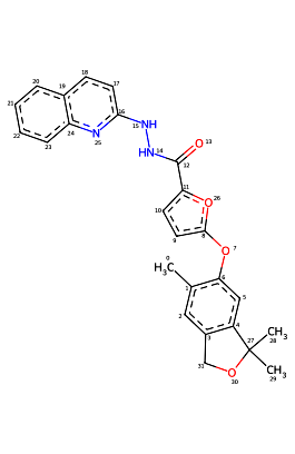 Cc1cc2c(cc1Oc1ccc(C(=O)NNc3ccc4ccccc4n3)o1)C(C)(C)OC2